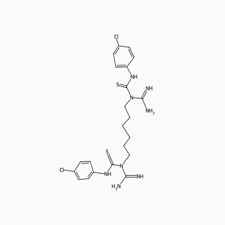 N=C(N)N(CCCCCCN(C(=N)N)C(=S)Nc1ccc(Cl)cc1)C(=S)Nc1ccc(Cl)cc1